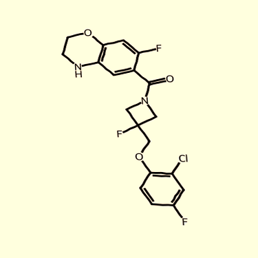 O=C(c1cc2c(cc1F)OCCN2)N1CC(F)(COc2ccc(F)cc2Cl)C1